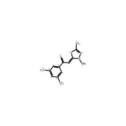 CCCCN1N=C(C)S/C1=C\C(=O)c1cc(C)cc(C)c1